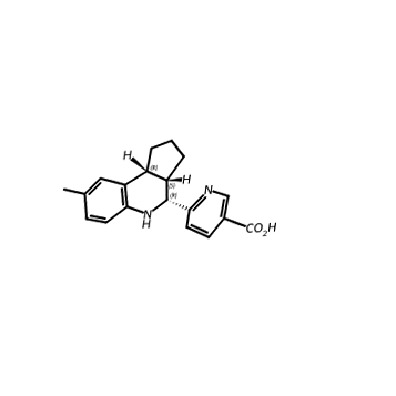 Cc1ccc2c(c1)[C@@H]1CCC[C@@H]1[C@H](c1ccc(C(=O)O)cn1)N2